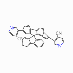 N#Cc1ccncc1-c1ccc2c(c1)C1(c3ccccc3-c3ccccc31)c1c-2ccc2cc(-c3cnccc3C#N)ccc12